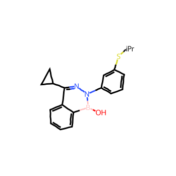 CC(C)Sc1cccc(N2N=C(C3CC3)c3ccccc3B2O)c1